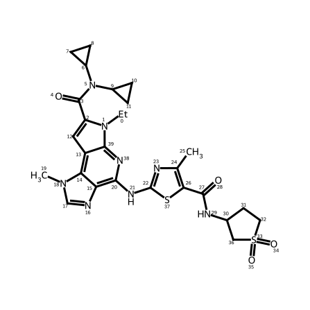 CCn1c(C(=O)N(C2CC2)C2CC2)cc2c3c(ncn3C)c(Nc3nc(C)c(C(=O)NC4CCS(=O)(=O)C4)s3)nc21